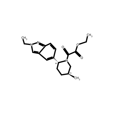 CCOC(=O)C(=O)N1C[C@@H](C)CC[C@@H]1c1ccc2nn(CC)cc2c1